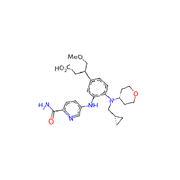 COCC(CC(=O)O)c1ccc(N(CC2CC2)C2CCOCC2)c(Nc2ccc(C(N)=O)nc2)c1